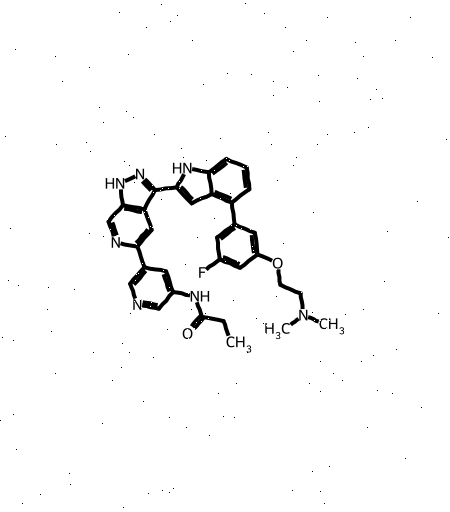 CCC(=O)Nc1cncc(-c2cc3c(-c4cc5c(-c6cc(F)cc(OCCN(C)C)c6)cccc5[nH]4)n[nH]c3cn2)c1